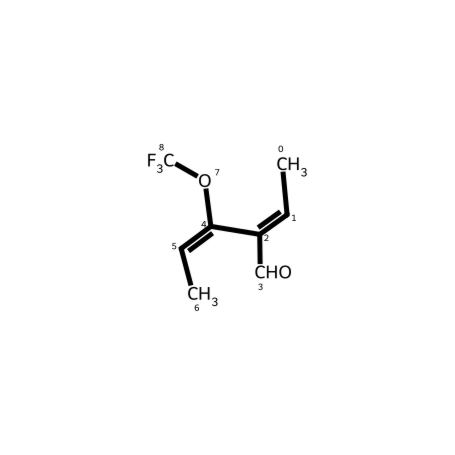 C/C=C(C=O)\C(=C/C)OC(F)(F)F